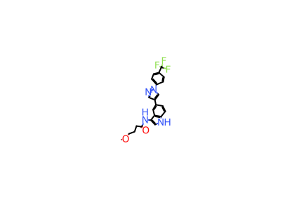 COCCCC(=O)Nc1c[nH]c2ccc(-c3cnn(-c4ccc(C(F)(F)F)cc4)c3)cc12